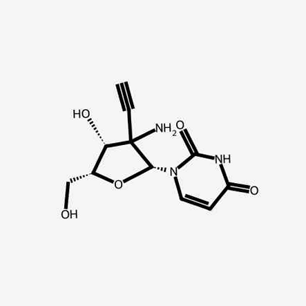 C#CC1(N)[C@@H](O)[C@@H](CO)O[C@H]1n1ccc(=O)[nH]c1=O